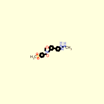 CNc1nc2ccc(-c3ccc4c(c3)CN(C(=O)c3ccc(S(C)(=O)=O)cc3)CCO4)cc2[nH]1